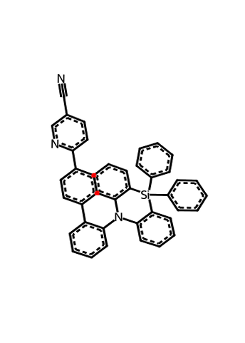 N#Cc1ccc(-c2ccc(-c3ccccc3N3c4ccccc4[Si](c4ccccc4)(c4ccccc4)c4ccccc43)cc2)nc1